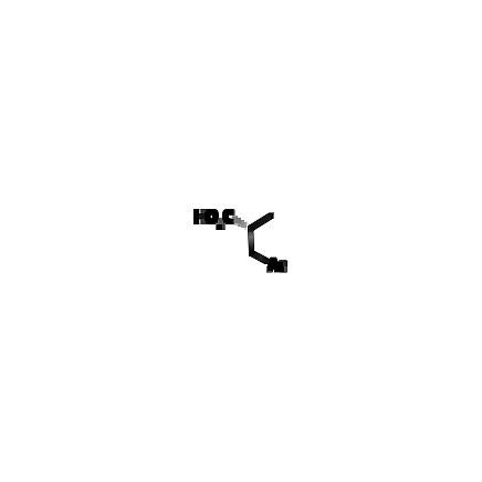 CC(=O)C[C@@H](C)C(=O)O